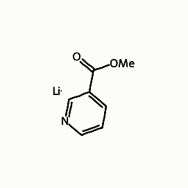 COC(=O)c1cccnc1.[Li]